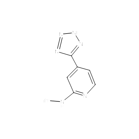 CC(C)Nc1cc(-c2nn[nH]n2)ccn1